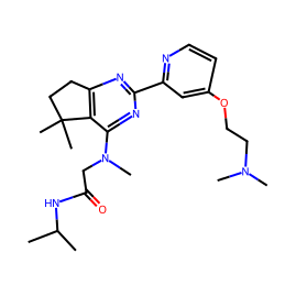 CC(C)NC(=O)CN(C)c1nc(-c2cc(OCCN(C)C)ccn2)nc2c1C(C)(C)CC2